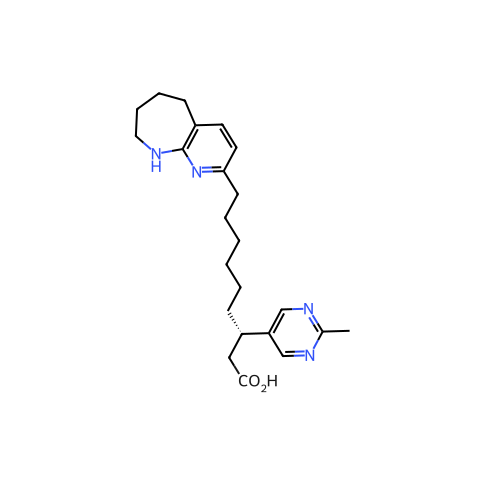 Cc1ncc([C@@H](CCCCCCc2ccc3c(n2)NCCCC3)CC(=O)O)cn1